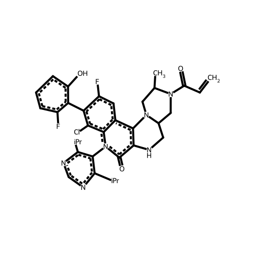 C=CC(=O)N1CC2CNc3c(c4cc(F)c(-c5c(O)cccc5F)c(Cl)c4n(-c4c(C(C)C)ncnc4C(C)C)c3=O)N2CC1C